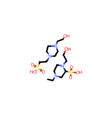 CCN1CCN(CCO)C(S(=O)(=O)O)C1.O=S(=O)(O)CCN1CCN(CCO)CC1